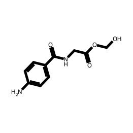 Nc1ccc(C(=O)NCC(=O)OCO)cc1